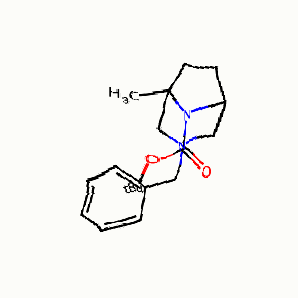 CC(C)(C)OC(=O)N1C2CCC1(C)CN(Cc1ccccc1)C2